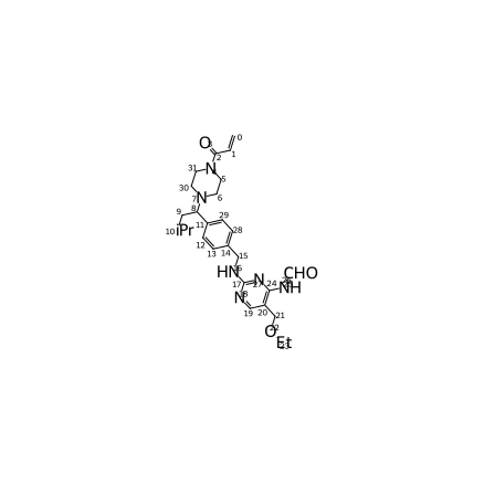 C=CC(=O)N1CCN(C(CC(C)C)c2ccc(CNc3ncc(COCC)c(NC=O)n3)cc2)CC1